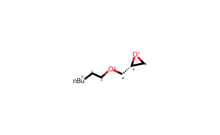 CCCCCCOC[C@H]1CO1